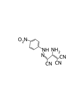 N#CC(C#N)=C(N)/C(C#N)=N\Nc1ccc([N+](=O)[O-])cc1